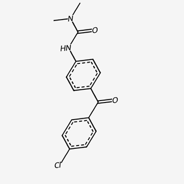 CN(C)C(=O)Nc1ccc(C(=O)c2ccc(Cl)cc2)cc1